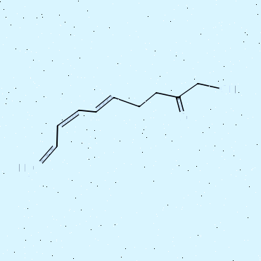 C=C/C=C\C=C\CCC(=O)CC